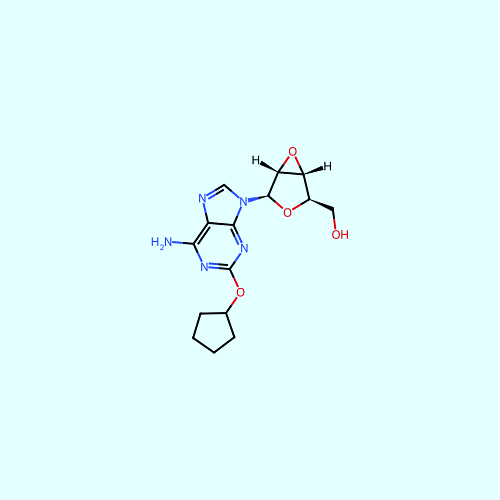 Nc1nc(OC2CCCC2)nc2c1ncn2[C@@H]1O[C@H](CO)[C@H]2O[C@H]21